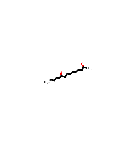 CCCCCC(=O)CCCCCCCC(C)=O